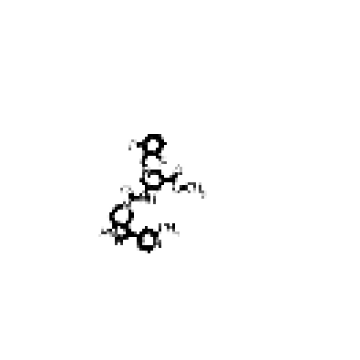 COC(=O)C1CC(NC(=O)N2CCc3[nH]nc(-c4ccnc(C)c4)c3C2)CN(Cc2c(F)cccc2F)C1